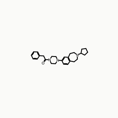 O=C(Cc1ccccc1)N1CCN(c2ccc3c(c2)CCN(C2CCCC2)CC3)CC1